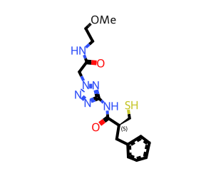 COCCNC(=O)Cn1nnc(NC(=O)[C@@H](CS)Cc2ccccc2)n1